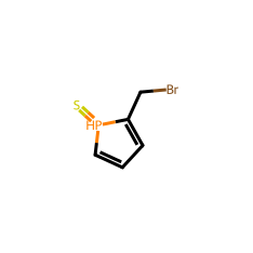 S=[PH]1C=CC=C1CBr